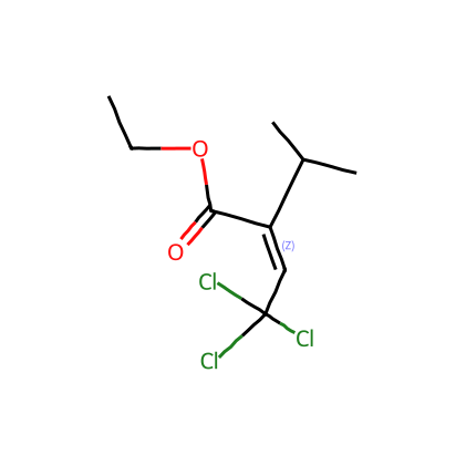 CCOC(=O)/C(=C\C(Cl)(Cl)Cl)C(C)C